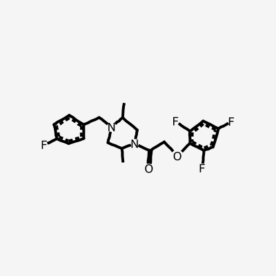 CC1CN(C(=O)COc2c(F)cc(F)cc2F)C(C)CN1Cc1ccc(F)cc1